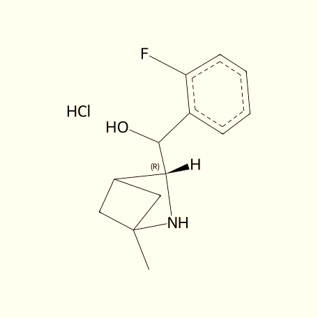 CC12CC(C1)[C@H](C(O)c1ccccc1F)N2.Cl